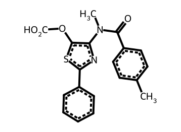 Cc1ccc(C(=O)N(C)c2nc(-c3ccccc3)sc2OC(=O)O)cc1